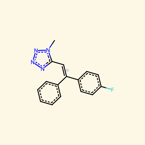 Cn1nnnc1/C=C(\c1ccccc1)c1ccc(F)cc1